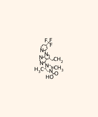 C=Cc1cn(-c2cc(C(F)(F)F)ccn2)c2ncnc(N3C[C@H](C)N(C(=O)O)CC3C)c12